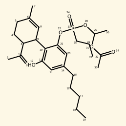 C=C(C)C1CCC(C)=CC1c1c(O)cc(CCCCC)cc1OP(=O)(CCC)OC(C)OC(C)=O